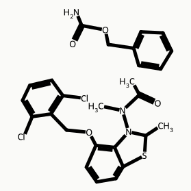 CC(=O)N(C)N1c2c(OCc3c(Cl)cccc3Cl)cccc2SC1C.NC(=O)OCc1ccccc1